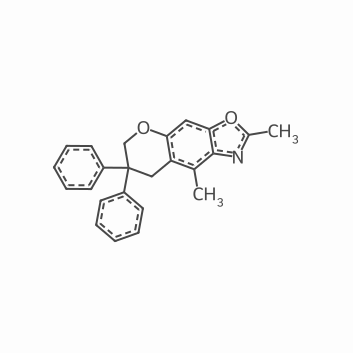 Cc1nc2c(C)c3c(cc2o1)OCC(c1ccccc1)(c1ccccc1)C3